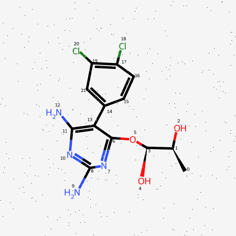 C[C@H](O)[C@@H](O)Oc1nc(N)nc(N)c1-c1ccc(Cl)c(Cl)c1